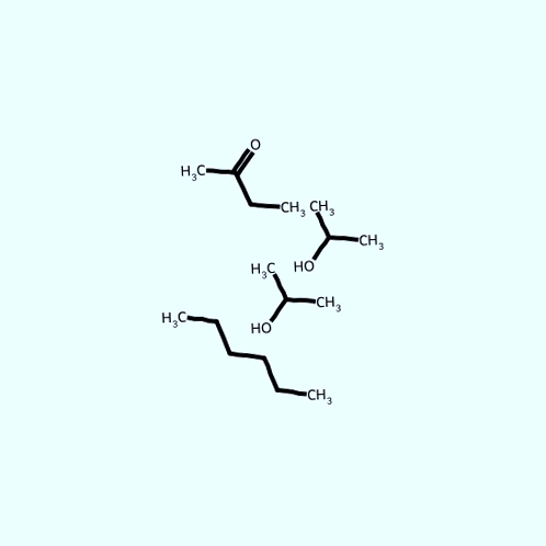 CC(C)O.CC(C)O.CCC(C)=O.CCCCCC